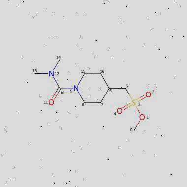 COS(=O)(=O)CC1CCN(C(=O)N(C)C)CC1